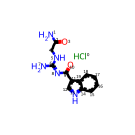 Cl.NC(=O)CNC(N)=NC(=O)c1c[nH]c2ccccc12